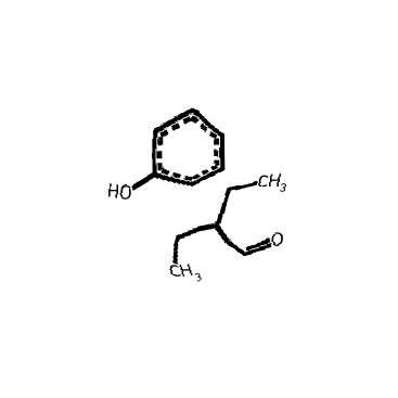 CCC(C=O)CC.Oc1ccccc1